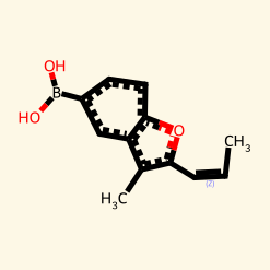 C/C=C\c1oc2ccc(B(O)O)cc2c1C